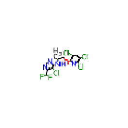 CC(COc1nc(Cl)c(Cl)cc1Cl)Nc1ncnc(C(F)F)c1Cl